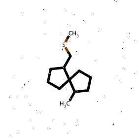 CSCC1CCCC12CCCC2C